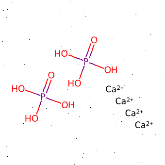 O=P(O)(O)O.O=P(O)(O)O.[Ca+2].[Ca+2].[Ca+2].[Ca+2]